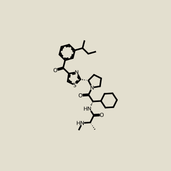 CCC(C)c1cccc(C(=O)c2csc([C@@H]3CCCN3C(=O)[C@@H](NC(=O)[C@H](C)NC)C3CCCCC3)n2)c1